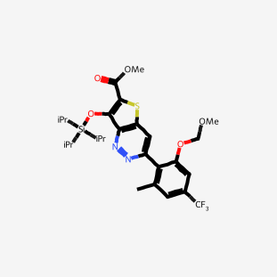 COCOc1cc(C(F)(F)F)cc(C)c1-c1cc2sc(C(=O)OC)c(O[Si](C(C)C)(C(C)C)C(C)C)c2nn1